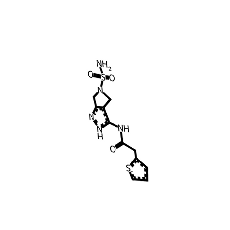 NS(=O)(=O)N1Cc2n[nH]c(NC(=O)Cc3cccs3)c2C1